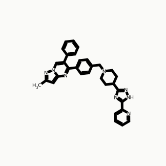 Cc1cc2nc(-c3ccc(CN4CCC(c5n[nH]c(-c6ccccn6)n5)CC4)cc3)c(-c3ccccc3)cn2n1